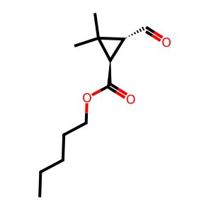 CCCCCOC(=O)[C@@H]1[C@@H](C=O)C1(C)C